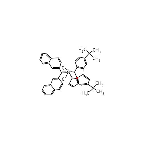 CC(C)(C)c1ccc2c(c1)-c1cc(C(C)(C)C)ccc1[CH]2[Zr]([Cl])([Cl])(=[C](c1ccc2ccccc2c1)c1ccc2ccccc2c1)[CH]1C=CC=C1